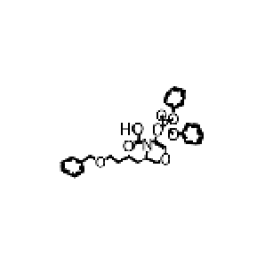 O=C(O)N1C(OP(=O)(Oc2ccccc2)Oc2ccccc2)=COC[C@H]1CCCCOCc1ccccc1